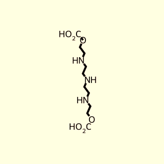 O=C(O)OCCNCCNCCNCCOC(=O)O